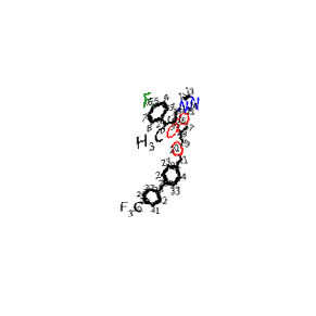 CC(c1ccc(F)cc1)C1(Cn2ccnc2)OCC(COCc2ccc(-c3ccc(C(F)(F)F)cc3)cc2)O1